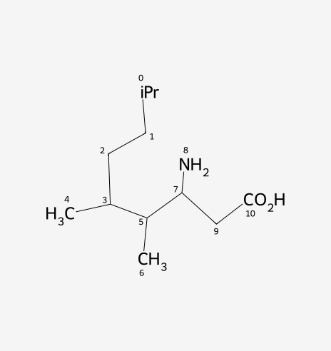 CC(C)CCC(C)C(C)C(N)CC(=O)O